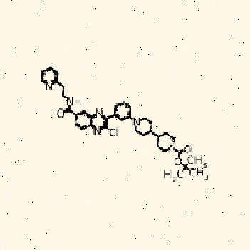 CC(C)(C)OC(=O)N1CCC(C2CCN(c3cccc(-c4nc5cc(C(=O)NCCc6ccccn6)ccc5nc4Cl)c3)CC2)CC1